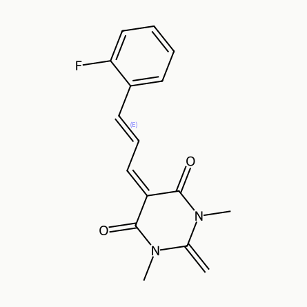 C=c1n(C)c(=O)c(=C/C=C/c2ccccc2F)c(=O)n1C